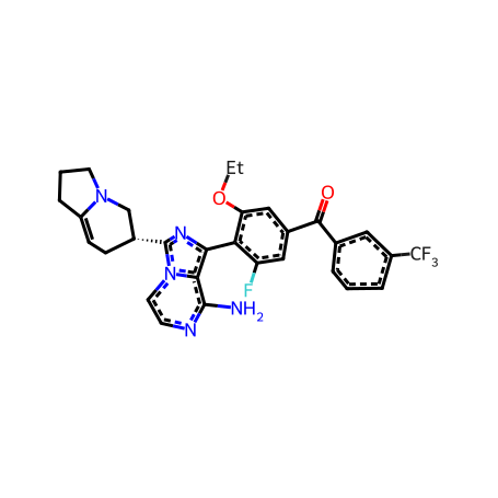 CCOc1cc(C(=O)c2cccc(C(F)(F)F)c2)cc(F)c1-c1nc([C@@H]2CC=C3CCCN3C2)n2ccnc(N)c12